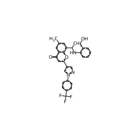 Cc1cc(C(C)Nc2ccccc2CO)c2oc(-c3cnn(-c4ccc(C(F)(F)F)cc4)c3)cc(=O)c2c1